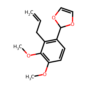 C=CCc1c(C2OC=CO2)ccc(OC)c1OC